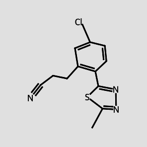 Cc1nnc(-c2ccc(Cl)cc2CCC#N)s1